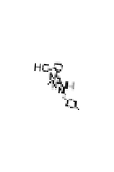 Cc1ccc(CC=NNc2cc(-c3ccccc3CO)nc(C)n2)cc1